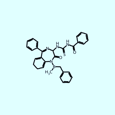 CB(Cc1ccccc1)N1C(=O)C(NC(=S)NC(=O)c2ccccc2)N=C(c2ccccc2)C2=CCCC=C21